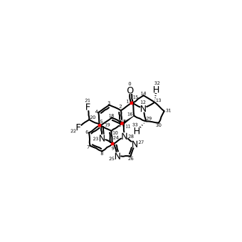 O=C(c1ccc2ccccc2n1)N1[C@H]2CC[C@H](c3cc(C(F)F)nc4ncnn34)[C@@H]1CC2